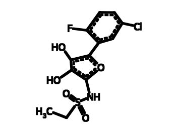 CCS(=O)(=O)Nc1oc(-c2cc(Cl)ccc2F)c(O)c1O